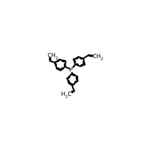 C=Cc1ccc(P(c2ccc(C=C)cc2)c2ccc(C=C)cc2)cc1